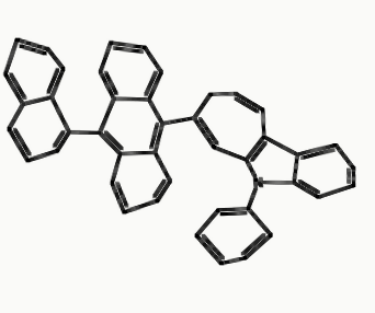 C1=Cc2c(n(-c3ccccc3)c3ccccc23)C=C(c2c3ccccc3c(-c3cccc4ccccc34)c3ccccc23)C1